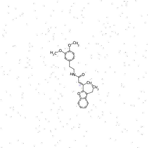 CCc1c(/C(C)=C/C(=O)NCCc2ccc(OC)c(OC)c2)oc2ccccc12